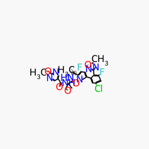 COc1ncc(C(=O)NC2(C(=O)N[C@H](C)c3ncc(-c4cc(Cl)cc(F)c4-c4noc(C)n4)cc3F)COC2)cn1